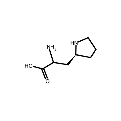 NC(C[C@@H]1CCCN1)C(=O)O